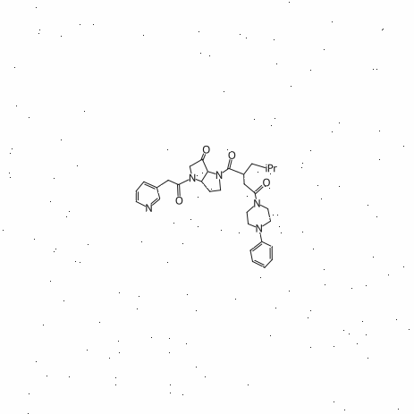 CC(C)CC(CC(=O)N1CCN(c2ccccc2)CC1)C(=O)N1CCC2C1C(=O)CN2C(=O)Cc1cccnc1